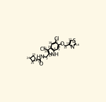 O=C(NCc1[nH]c2cc(OCc3cscn3)c(Cl)cc2c1Cl)N1CCC1